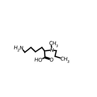 CCCN(C)C(CCCCN)C(=O)O